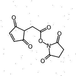 O=C(CC1C(=O)C=CC1=O)ON1C(=O)CCC1=O